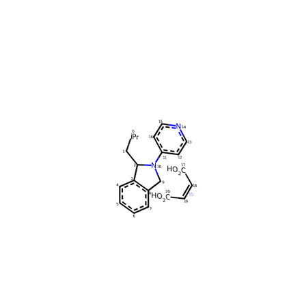 CC(C)CC1c2ccccc2CN1c1ccncc1.O=C(O)/C=C\C(=O)O